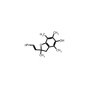 CCCC=CC1(C)Cc2c(C)c(O)c(C)c(C)c2O1